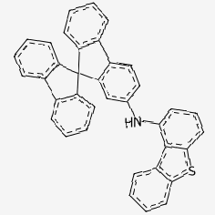 c1ccc2c(c1)-c1ccccc1C21c2ccccc2-c2ccc(Nc3cccc4sc5ccccc5c34)cc21